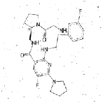 NCC(=O)N1CCC[C@@H]1CNC(=O)c1cc(F)c(N2CCCC2)nc1NCCc1cccc(F)c1